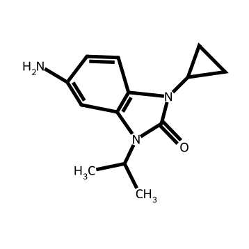 CC(C)n1c(=O)n(C2CC2)c2ccc(N)cc21